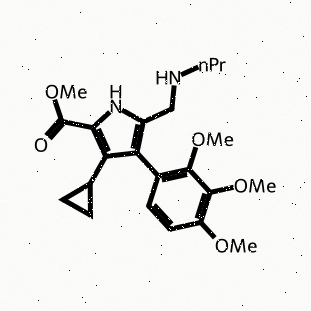 CCCNCc1[nH]c(C(=O)OC)c(C2CC2)c1-c1ccc(OC)c(OC)c1OC